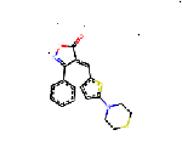 O=C1ON=C(c2ccccc2)/C1=C\c1ccc(N2CCSCC2)s1